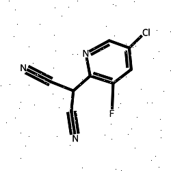 N#CC(C#N)c1ncc(Cl)cc1F